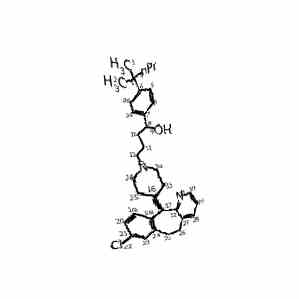 CCCC(C)(C)c1ccc(C(O)CCCN2CCC(=C3c4ccc(Cl)cc4CCc4cccnc43)CC2)cc1